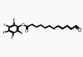 O=CCCCCCCCCCCC(=O)Oc1c(F)c(F)c(F)c(F)c1F